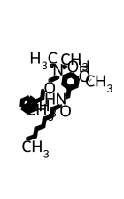 CCCCCCCCC(=O)NCc1ccc(O)c(OC)c1.CCN(CC)CCOCCC1=CCC2CC1C2(C)C